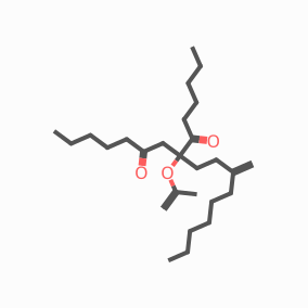 C=C(CCCCCC)CCC(CC(=O)CCCCC)(OC(=C)C)C(=O)CCCCC